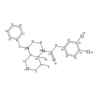 CC1COCC2N(Cc3ccccc3)CCN(C(=O)Cc3ccc(Cl)c(Cl)c3)C12C